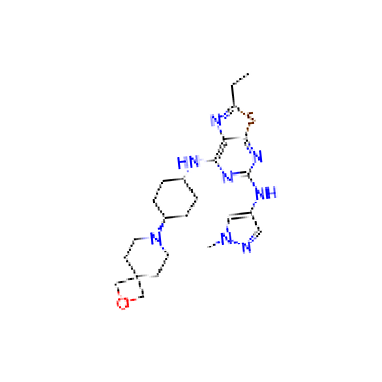 CCc1nc2c(N[C@H]3CC[C@H](N4CCC5(CC4)COC5)CC3)nc(Nc3cnn(C)c3)nc2s1